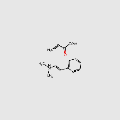 C=CC(=O)OC.C[SiH](C)C=Cc1ccccc1